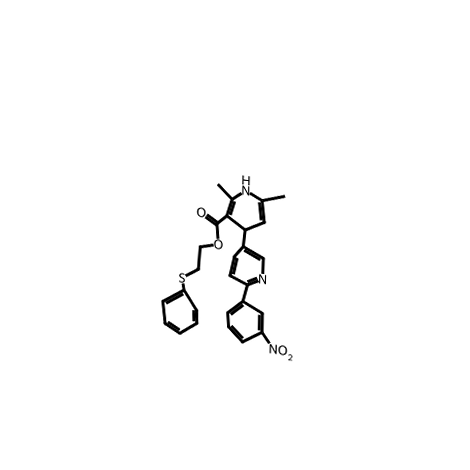 CC1=CC(c2ccc(-c3cccc([N+](=O)[O-])c3)nc2)C(C(=O)OCCSc2ccccc2)=C(C)N1